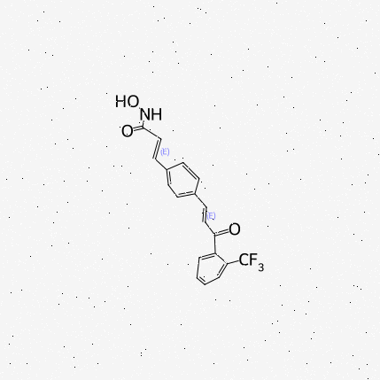 O=C(/C=C/c1ccc(/C=C/C(=O)c2ccccc2C(F)(F)F)cc1)NO